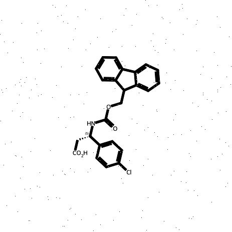 O=C(O)C[C@H](NC(=O)OCC1c2ccccc2-c2ccccc21)c1ccc(Cl)cc1